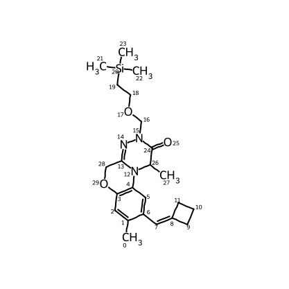 Cc1cc2c(cc1C=C1CCC1)N1C(=NN(COCC[Si](C)(C)C)C(=O)C1C)CO2